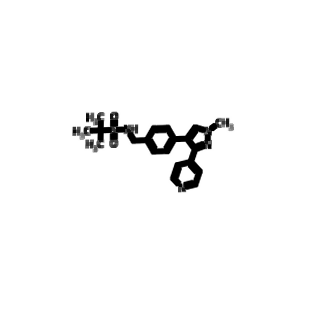 Cn1cc(-c2ccc(CNS(=O)(=O)C(C)(C)C)cc2)c(-c2ccncc2)n1